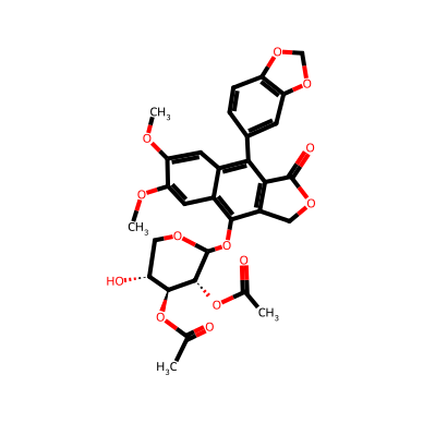 COc1cc2c(OC3OC[C@@H](O)[C@H](OC(C)=O)[C@H]3OC(C)=O)c3c(c(-c4ccc5c(c4)OCO5)c2cc1OC)C(=O)OC3